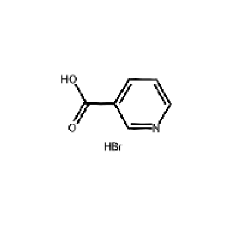 Br.O=C(O)c1cccnc1